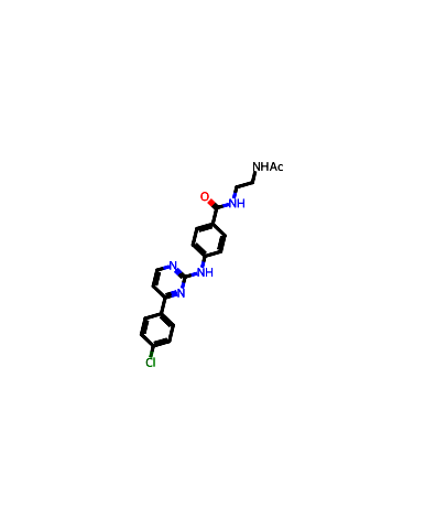 CC(=O)NCCNC(=O)c1ccc(Nc2nccc(-c3ccc(Cl)cc3)n2)cc1